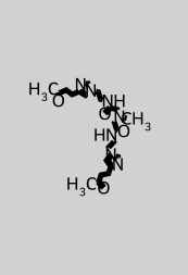 CC(=O)CCc1cn(CCNC(=O)CN(C)CC(=O)NCCn2cnc(CCC(C)=O)c2)cn1